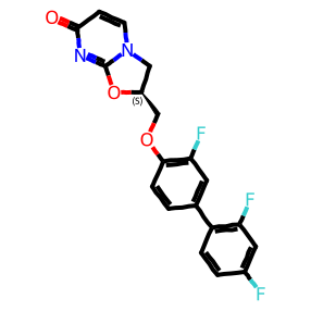 O=c1ccn2c(n1)O[C@H](COc1ccc(-c3ccc(F)cc3F)cc1F)C2